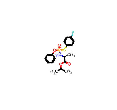 CC(C)OC(=O)[C@H](C)NP(=O)(Oc1ccccc1)Sc1ccc(F)cc1